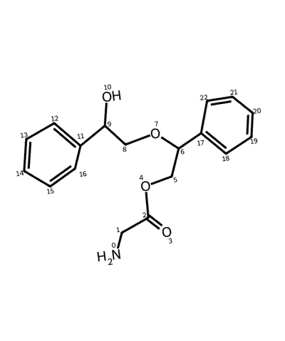 NCC(=O)OCC(OCC(O)c1ccccc1)c1ccccc1